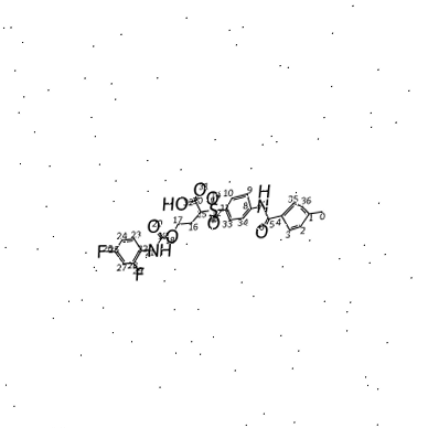 Cc1ccc(C(=O)Nc2ccc(S(=O)(=O)C(CCOC(=O)Nc3ccc(F)cc3F)C(=O)O)cc2)cc1